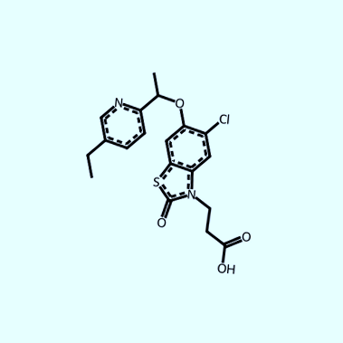 CCc1ccc(C(C)Oc2cc3sc(=O)n(CCC(=O)O)c3cc2Cl)nc1